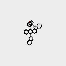 C1=CC2c3ccc4c(-c5ccc6ccccc6c5)c5ccccc5c(-c5ccccc5)c4c3N(c3ccccc3)C2C=C1